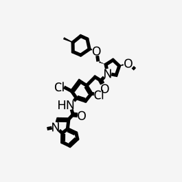 CO[C@H]1C[C@@H](CO[C@H]2CC[C@H](C)CC2)N(C(=O)Cc2cc(Cl)c(NC(=O)c3cn(C)c4ccccc34)cc2Cl)C1